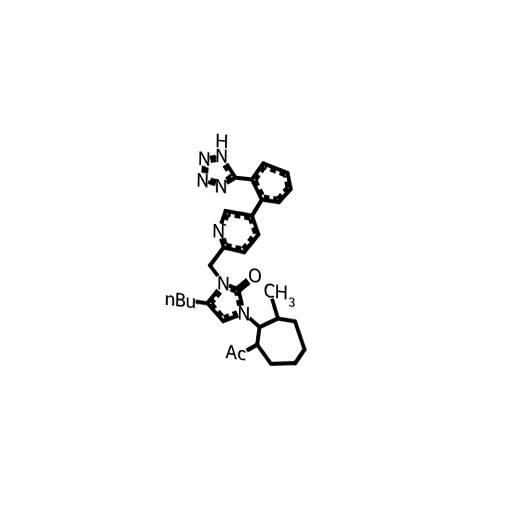 CCCCc1cn(C2C(C)CCCCC2C(C)=O)c(=O)n1Cc1ccc(-c2ccccc2-c2nnn[nH]2)cn1